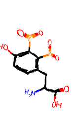 NC(Cc1ccc(O)c(P(=O)=O)c1P(=O)=O)C(=O)O